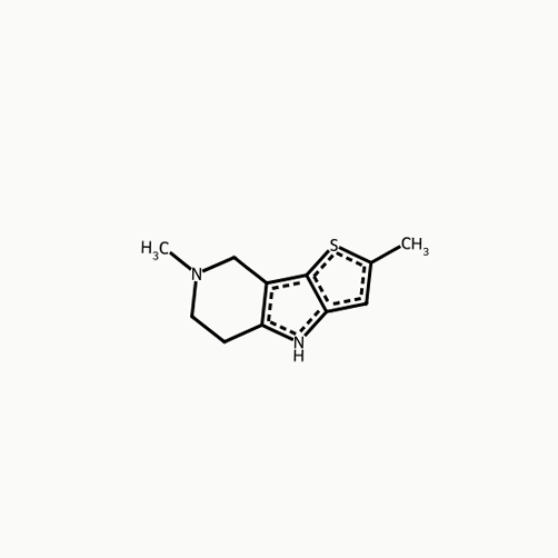 Cc1cc2[nH]c3c(c2s1)CN(C)CC3